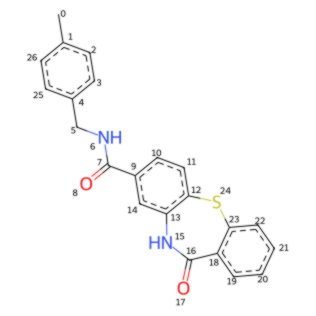 Cc1ccc(CNC(=O)c2ccc3c(c2)NC(=O)c2ccccc2S3)cc1